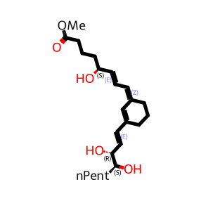 CCCCC[C@H](O)[C@H](O)/C=C/C1=CC(=C\C=C\[C@@H](O)CCCC(=O)OC)/CCC1